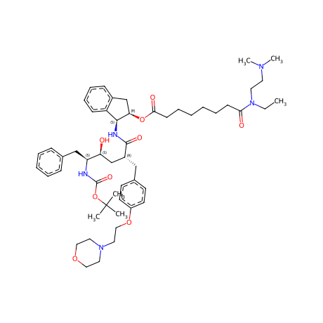 CCN(CCN(C)C)C(=O)CCCCCCC(=O)O[C@@H]1Cc2ccccc2[C@@H]1NC(=O)[C@H](Cc1ccc(OCCN2CCOCC2)cc1)C[C@H](O)[C@H](Cc1ccccc1)NC(=O)OC(C)(C)C